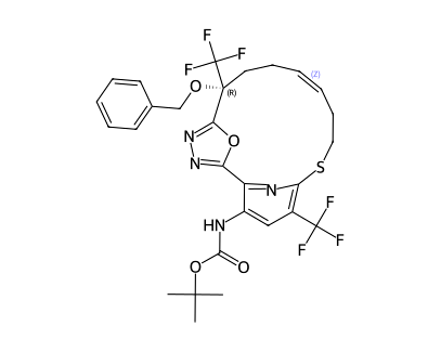 CC(C)(C)OC(=O)Nc1cc(C(F)(F)F)c2nc1-c1nnc(o1)[C@@](OCc1ccccc1)(C(F)(F)F)CC/C=C\CCS2